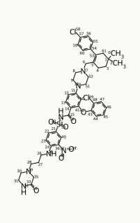 CC1(C)CCC(CN2CCN(c3ccc(C(=O)NS(=O)(=O)c4ccc(NCCCN5CCNC(=O)C5)c([N+](=O)[O-])c4)c(Oc4ccccc4Cl)c3)CC2)=C(c2ccc(Cl)cc2)C1